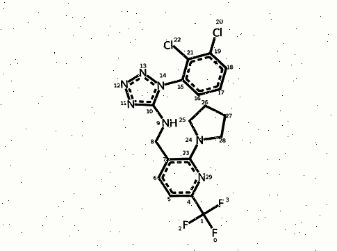 FC(F)(F)c1ccc(CNc2nnnn2-c2cccc(Cl)c2Cl)c(N2CCCC2)n1